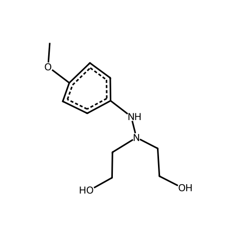 COc1ccc(NN(CCO)CCO)cc1